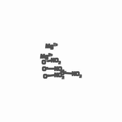 O=[N+]([O-])[O-].O=[N+]([O-])[O-].O=[N+]([O-])[O-].O=[N+]([O-])[O-].[Mg+2].[Mg+2]